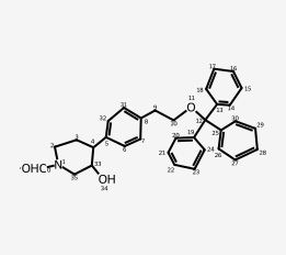 O=[C]N1CCC(c2ccc(CCOC(c3ccccc3)(c3ccccc3)c3ccccc3)cc2)C(O)C1